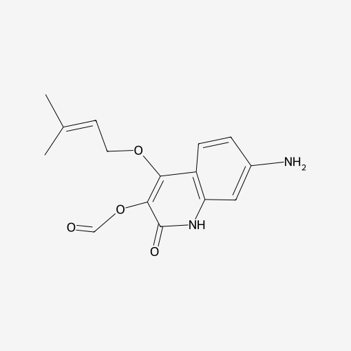 CC(C)=CCOc1c(OC=O)c(=O)[nH]c2cc(N)ccc12